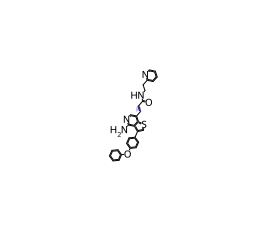 Nc1ncc(/C=C/C(=O)NCCc2ccccn2)c2scc(-c3ccc(Oc4ccccc4)cc3)c12